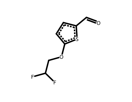 O=Cc1ccc(OCC(F)F)s1